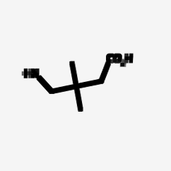 CC(C)(C[NH])CC(=O)O